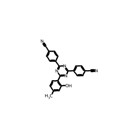 Cc1ccc(-c2nc(-c3ccc(C#N)cc3)nc(-c3ccc(C#N)cc3)n2)c(O)c1